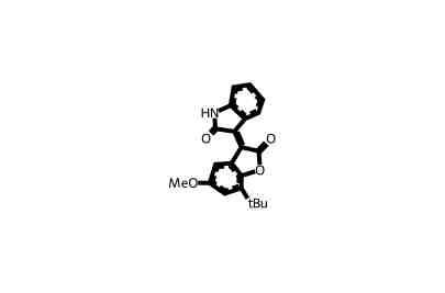 COc1cc2c(c(C(C)(C)C)c1)OC(=O)C2=C1C(=O)Nc2ccccc21